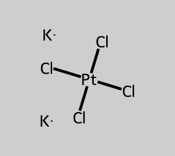 [Cl][Pt]([Cl])([Cl])[Cl].[K].[K]